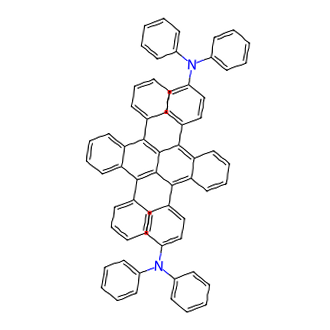 C1=CCCC(c2c3ccccc3c(-c3ccccc3)c3c(-c4ccc(N(c5ccccc5)c5ccccc5)cc4)c4ccccc4c(-c4ccc(N(c5ccccc5)c5ccccc5)cc4)c23)=C1